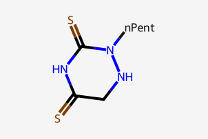 CCCCCN1NCC(=S)NC1=S